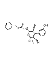 N#Cc1c(N)nc(SCC(=O)OCc2ccccc2)c(C#N)c1-c1cccc(O)c1